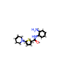 Nc1ccccc1NC(=O)c1ccc(N2CC=CCC2)s1